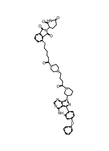 Nc1ncnc2c1c(-c1ccc(Oc3ccccc3)cc1)nn2C1CCCN(C(=O)CCCN2CCN(C(=O)CCCCSc3cccc4c3C(=O)N(C3CCC(=O)NC3=O)C4=O)CC2)C1